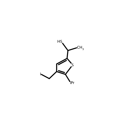 CC(C)c1sc(C(C)S)cc1CI